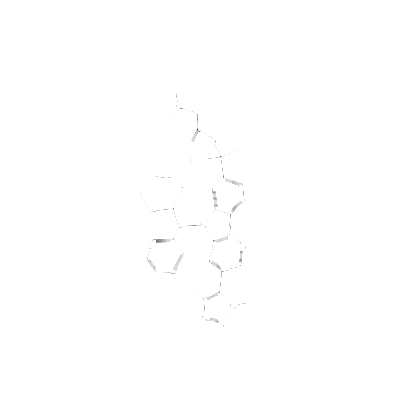 Cc1nnn(C)c1-c1cnc2c3ccc(C(C)(C)NC(=O)CN(C)C)cc3n(C(c3ccccc3)C3CCOCC3)c2c1